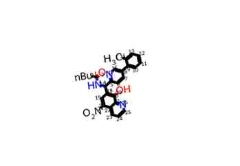 CCCCC(=O)NC(c1ccc(-c2ccccc2C)cn1)c1cc([N+](=O)[O-])c2cccnc2c1O